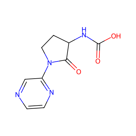 O=C(O)NC1CCN(c2cnccn2)C1=O